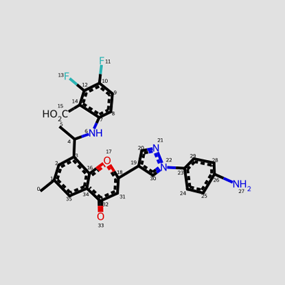 Cc1cc(C(C)Nc2ccc(F)c(F)c2C(=O)O)c2oc(-c3cnn(-c4ccc(N)cc4)c3)cc(=O)c2c1